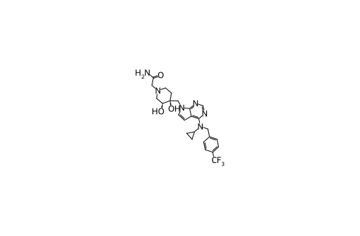 NC(=O)CN1CC[C@](O)(Cn2ccc3c(N(Cc4ccc(C(F)(F)F)cc4)C4CC4)ncnc32)[C@@H](O)C1